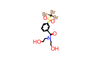 O=C(c1cccc(S(=O)(=O)C(Br)(Br)Br)c1)N(CCO)CCO